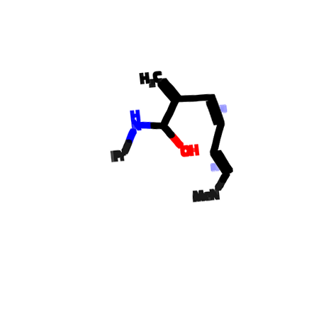 C=C(/C=C\C=C\NC)C(O)NC(C)C